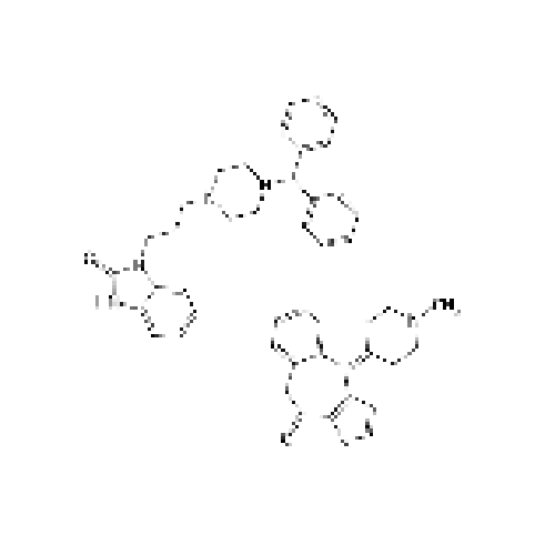 CN1CCC(=C2c3ccccc3CC(=O)c3sccc32)CC1.O=c1[nH]c2ccccc2n1CCCN1CCN(C(c2ccccc2)c2ccccc2)CC1